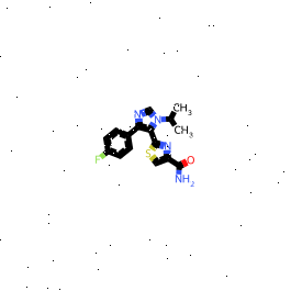 CC(C)n1cnc(-c2ccc(F)cc2)c1-c1nc(C(N)=O)cs1